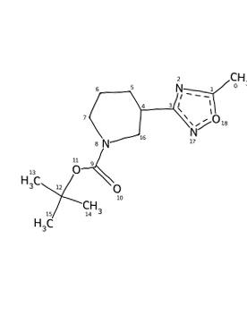 Cc1nc(C2CCCN(C(=O)OC(C)(C)C)C2)no1